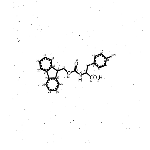 O=C(NC(Cc1ccc(F)cc1)C(=O)O)OCC1c2ccccc2-c2ccccc21